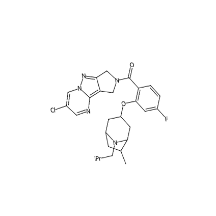 CC(C)CN1C2CC(Oc3cc(F)ccc3C(=O)N3Cc4nn5cc(Cl)cnc5c4C3)CC1C(C)C2